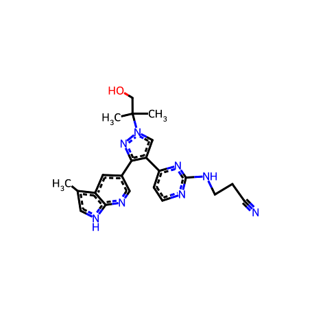 Cc1c[nH]c2ncc(-c3nn(C(C)(C)CO)cc3-c3ccnc(NCCC#N)n3)cc12